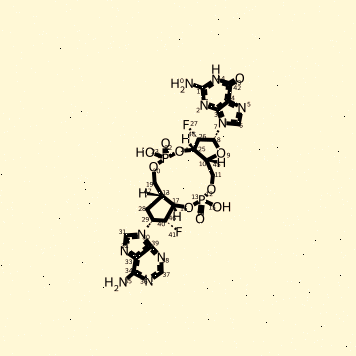 Nc1nc2c(ncn2[C@@H]2O[C@@H]3COP(=O)(O)O[C@H]4[C@@H](COP(=O)(O)O[C@@H]3[C@@H]2F)C[C@@H](n2cnc3c(N)ncnc32)[C@H]4F)c(=O)[nH]1